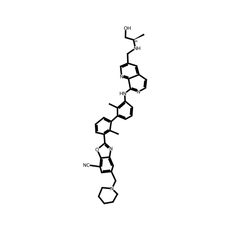 Cc1c(Nc2nccc3cc(CN[C@H](C)CO)cnc23)cccc1-c1cccc(-c2nc3cc(CN4CCCCC4)cc(C#N)c3o2)c1C